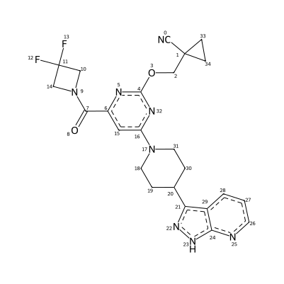 N#CC1(COc2nc(C(=O)N3CC(F)(F)C3)cc(N3CCC(c4n[nH]c5ncccc45)CC3)n2)CC1